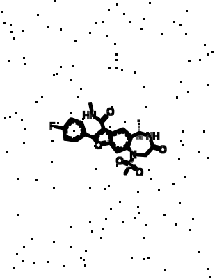 CNC(=O)c1c(-c2ccc(F)cc2)oc2cc3c(cc12)[C@H](C)NC(=O)CN3S(C)(=O)=O